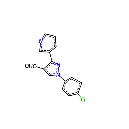 O=Cc1cn(-c2ccc(Cl)cc2)nc1-c1cccnc1